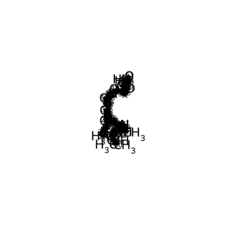 Cc1cc(F)c(Nc2nc(-c3ccc4c(c3)N([C@H]3C[C@@H](N5CCCCC5)C3)C(=O)C43CCN(C(=O)CC4CCN(C(=O)C5CCN(C(=O)CNc6cccc7c6C(=O)N(C6CCC(=O)NC6=O)C7=O)CC5)CC4)CC3)cc3ncn(C(C)C)c23)cc1C(=O)NC(C)C